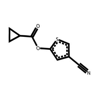 N#Cc1csc(OC(=O)C2CC2)c1